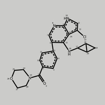 O=C(c1ccc(-c2cnc3[nH]cc(Cl)c3c2NC2C3CC32)cc1)N1CCOCC1